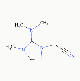 CN(C)C1N(C)CCN1CC#N